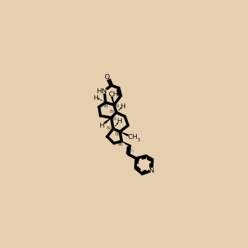 C[C@]12C=CC(=O)N[C@@H]1CC[C@@H]1[C@@H]2CC[C@]2(C)[C@@H](/C=C/c3ccncc3)CC[C@@H]12